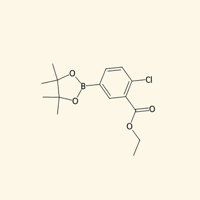 CCOC(=O)c1cc(B2OC(C)(C)C(C)(C)O2)ccc1Cl